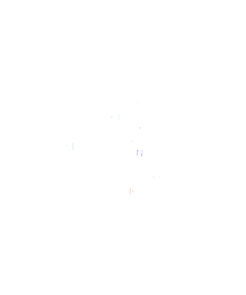 CC(=O)c1cccc(CN(C(=O)c2ccc(Cl)cc2Cl)C(Cc2ccccc2)C(=O)O)c1